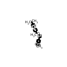 C=C(C)c1cnc(N2CCC(C(C)Oc3ncc(-c4ccc(S(C)(=O)=O)cc4)s3)CC2)nc1